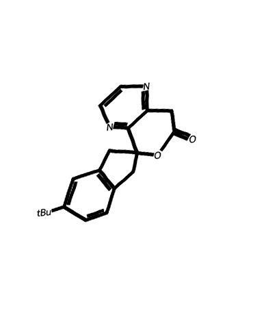 CC(C)(C)c1ccc2c(c1)CC1(C2)OC(=O)Cc2nccnc21